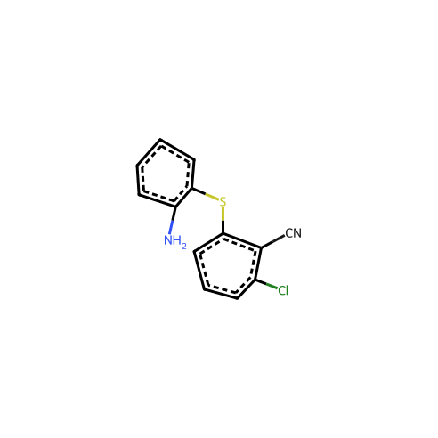 N#Cc1c(Cl)cccc1Sc1ccccc1N